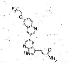 NC(=O)C=Cc1c[nH]c2ncc(-c3cnc4ccc(OCC(F)(F)F)cc4c3)cc12